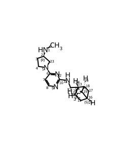 CN[C@@H]1CCN(c2ccnc(NC[C@H]3CC[C@H]4C[C@H]3C4(C)C)n2)C1